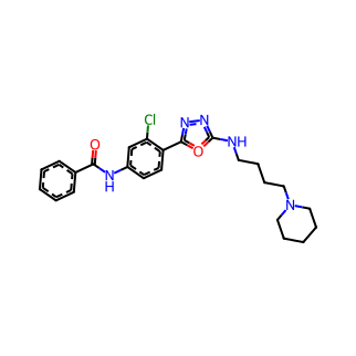 O=C(Nc1ccc(-c2nnc(NCCCCN3CCCCC3)o2)c(Cl)c1)c1ccccc1